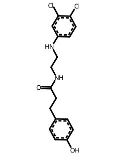 O=C(CCc1ccc(O)cc1)NCCNc1ccc(Cl)c(Cl)c1